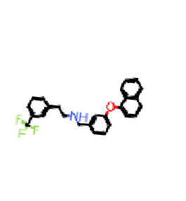 FC(F)(F)c1cccc(CCNCc2cccc(Oc3cccc4ccccc34)c2)c1